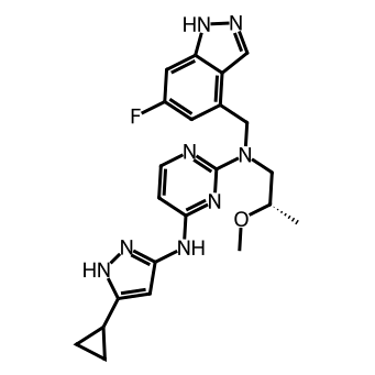 CO[C@@H](C)CN(Cc1cc(F)cc2[nH]ncc12)c1nccc(Nc2cc(C3CC3)[nH]n2)n1